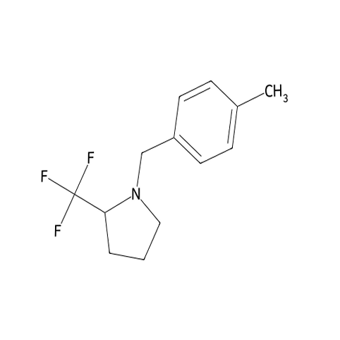 Cc1ccc(CN2CCCC2C(F)(F)F)cc1